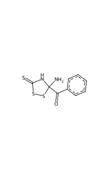 NC1(C(=O)c2ccccc2)NC(=S)SS1